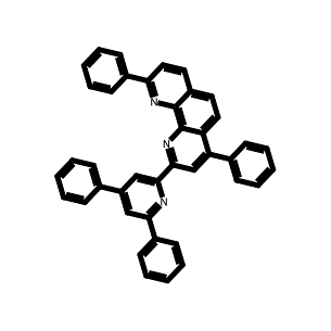 c1ccc(-c2cc(-c3ccccc3)nc(-c3cc(-c4ccccc4)c4ccc5ccc(-c6ccccc6)nc5c4n3)c2)cc1